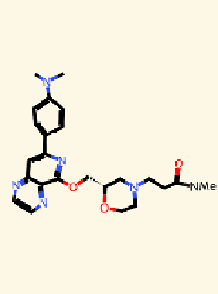 CNC(=O)CCN1CCO[C@H](COc2nc(-c3ccc(N(C)C)cc3)cc3nccnc23)C1